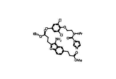 CCCN(CCOc1c(Cl)cc(Cl)cc1Cl)C(=O)n1ccnc1.COC(=O)CCc1ccc2oc(CCC(=O)OC(C)(C)C)c(N)c2c1